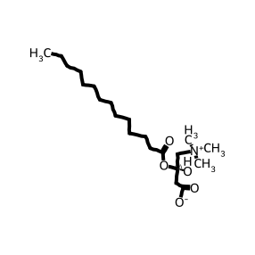 CCCCCCCCCCCCCC(=O)O[C@](O)(CC(=O)[O-])C[N+](C)(C)C